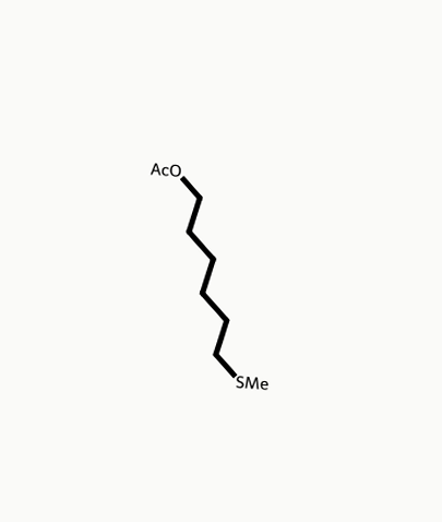 CSCCCCCCOC(C)=O